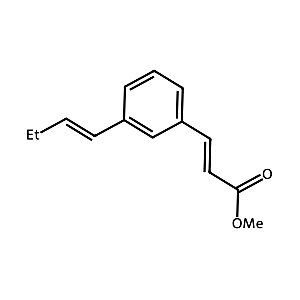 CCC=Cc1cccc(/C=C/C(=O)OC)c1